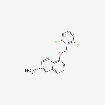 O=C(O)c1cnc2c(OCc3c(F)cccc3F)cccc2c1